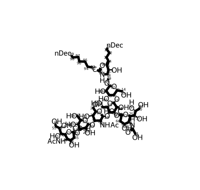 CCCCCCCCCCCCC/C=C/[C@@H](O)[C@H](CO[C@@H]1OC(CO)[C@@H](O[C@@H]2OC(CO)[C@H](O[C@@H]3OC(CO)[C@H](O)[C@H](O[C@@H]4OC(CO)[C@H](O)[C@H](O[C@]5(C(=O)O)CC(O)[C@@H](NC(C)=O)C([C@H](O)[C@H](O)CO)O5)C4O)C3NC(C)=O)[C@H](O[C@]3(C(=O)O)CC(O)[C@@H](NC(=O)CO)C([C@H](O)[C@H](O)CO)O3)C2O)[C@H](O)C1O)NC(=O)CCCCCCCCCCCCCCCCC